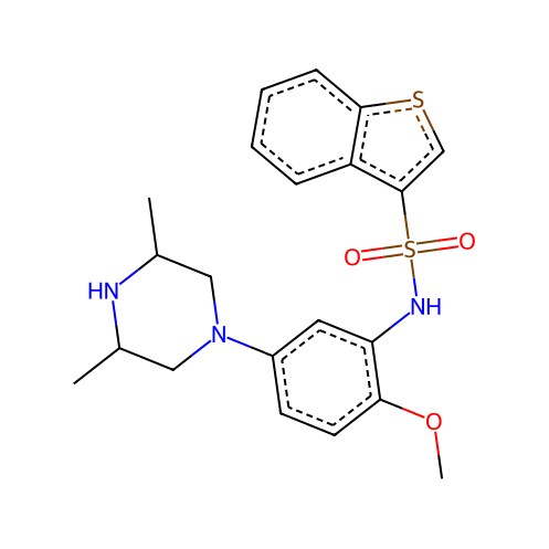 COc1ccc(N2CC(C)NC(C)C2)cc1NS(=O)(=O)c1csc2ccccc12